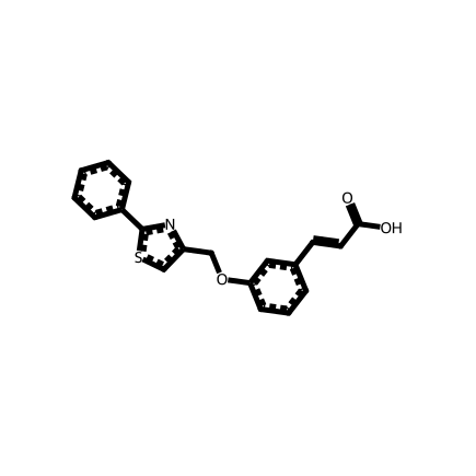 O=C(O)C=Cc1cccc(OCc2csc(-c3ccccc3)n2)c1